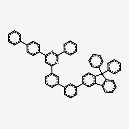 c1ccc(-c2ccc(-c3cc(-c4cccc(-c5cccc(-c6ccc7c(c6)-c6ccccc6C7(c6ccccc6)c6ccccc6)c5)c4)nc(-c4ccccc4)n3)cc2)cc1